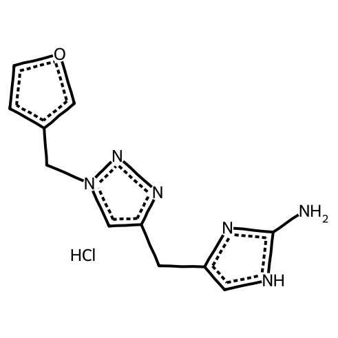 Cl.Nc1nc(Cc2cn(Cc3ccoc3)nn2)c[nH]1